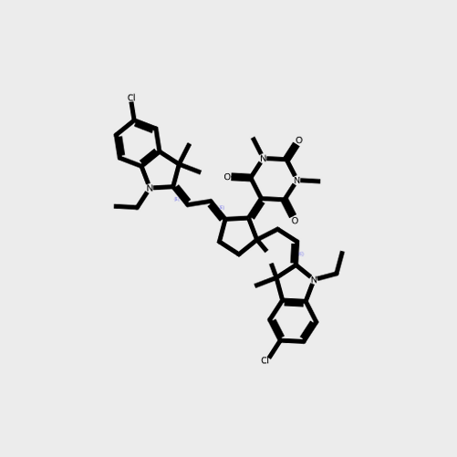 CCN1/C(=C/C=C2\CCC(C)(C/C=C3/N(CC)c4ccc(Cl)cc4C3(C)C)C2=C2C(=O)N(C)C(=O)N(C)C2=O)C(C)(C)c2cc(Cl)ccc21